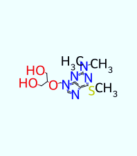 CSc1nc(N(C)C)nc2c1ncn2COC(CO)CO